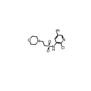 CC(C)c1cnc(Cl)c(NS(=O)(=O)CCN2CCOCC2)c1